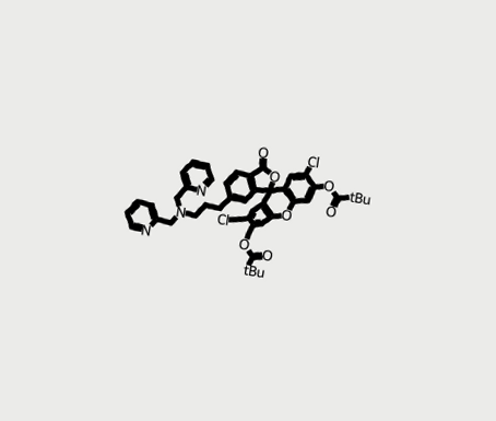 CC(C)(C)C(=O)Oc1cc2c(cc1Cl)C1(OC(=O)c3ccc(CCCN(Cc4ccccn4)Cc4ccccn4)cc31)c1cc(Cl)c(OC(=O)C(C)(C)C)cc1O2